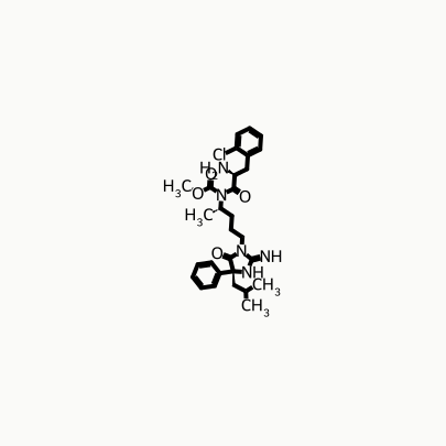 COC(=O)N(C(=O)[C@@H](N)Cc1ccccc1Cl)[C@@H](C)CCCN1C(=N)N[C@](CC(C)C)(c2ccccc2)C1=O